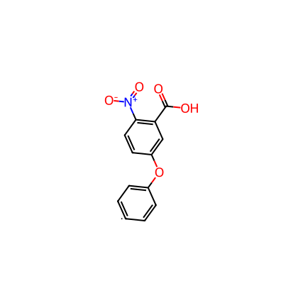 O=C(O)c1cc(Oc2cc[c]cc2)ccc1[N+](=O)[O-]